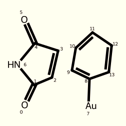 O=C1C=CC(=O)N1.[Au][c]1ccccc1